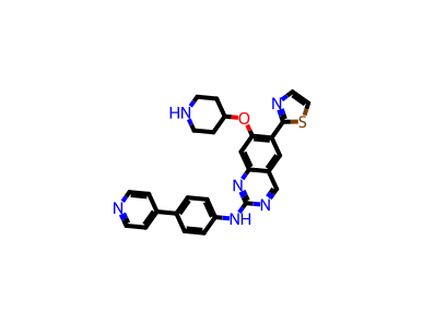 c1cc(-c2ccc(Nc3ncc4cc(-c5nccs5)c(OC5CCNCC5)cc4n3)cc2)ccn1